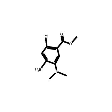 Bc1cc(Cl)c(C(=O)OC)cc1N(C)C